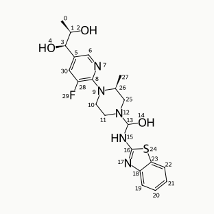 C[C@@H](O)[C@H](O)c1cnc(N2CCN(C(O)Nc3nc4ccccc4s3)C[C@@H]2C)c(F)c1